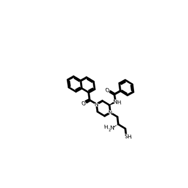 N[C@@H](CS)CN1CCN(C(=O)c2cccc3ccccc23)C[C@H]1NC(=O)c1ccccc1